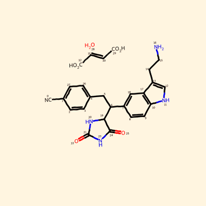 N#Cc1ccc(CC(c2ccc3[nH]cc(CCN)c3c2)C2NC(=O)NC2=O)cc1.O.O=C(O)C=CC(=O)O